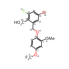 COc1cc(OC(F)(F)F)ccc1OCc1cc(Br)cc(F)c1C(=O)O